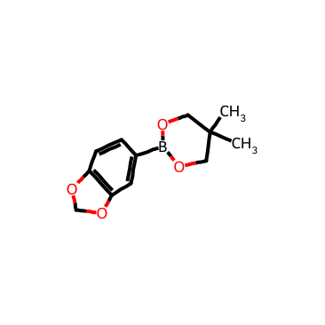 CC1(C)COB(c2ccc3c(c2)OCO3)OC1